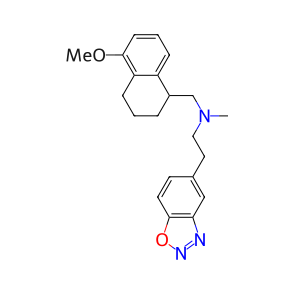 COc1cccc2c1CCCC2CN(C)CCc1ccc2onnc2c1